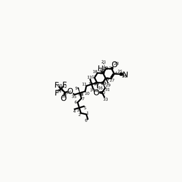 CCCC(C)(C)CC[C@@](C)(CCC(C)(C)[C@]1(C)CC[C@H]2[C@H](C)C(=O)C(C#N)=C[C@]2(C)[C@H]1CC(C)=O)COC(=O)C(F)(F)F